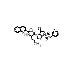 CCCC(NC(=O)c1ccc2ccccc2n1)C(=O)N1CCC2C1C(=O)CN2S(=O)(=O)Cc1cccnc1